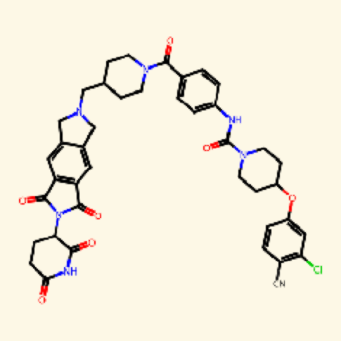 N#Cc1ccc(OC2CCN(C(=O)Nc3ccc(C(=O)N4CCC(CN5Cc6cc7c(cc6C5)C(=O)N(C5CCC(=O)NC5=O)C7=O)CC4)cc3)CC2)cc1Cl